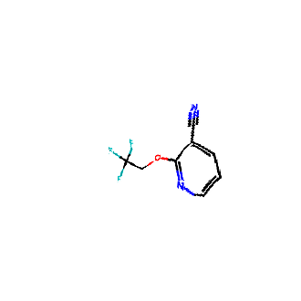 N#Cc1cccnc1OCC(F)(F)F